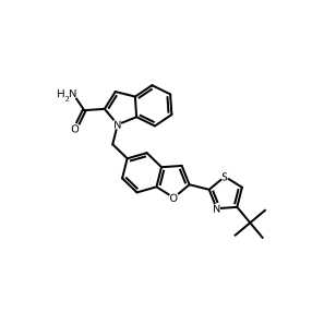 CC(C)(C)c1csc(-c2cc3cc(Cn4c(C(N)=O)cc5ccccc54)ccc3o2)n1